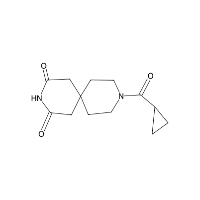 O=C1CC2(CCN(C(=O)C3CC3)CC2)CC(=O)N1